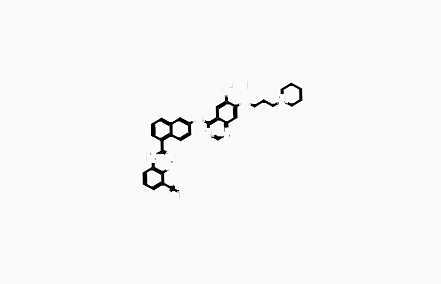 COc1cc2c(Oc3ccc4c(C(=O)Nc5cccc(C(F)(F)F)c5C)cccc4c3)ncnc2cc1OCCCN1CCCCC1